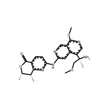 COC[C@](C)(N)c1cnc(OC)c2cnc(Nc3ccc4c(n3)[C@H](C)[C@H](C)OC4=O)cc12